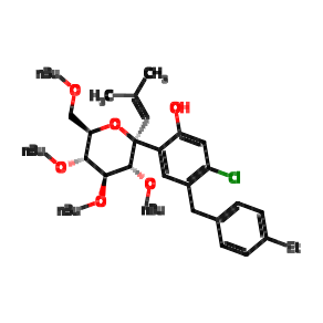 CCCCOC[C@H]1O[C@@](C=C(C)C)(c2cc(Cc3ccc(CC)cc3)c(Cl)cc2O)[C@H](OCCCC)[C@@H](OCCCC)[C@@H]1OCCCC